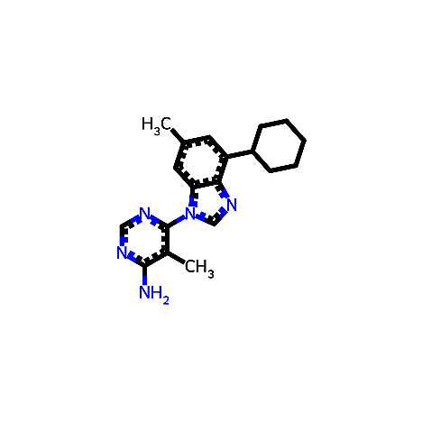 Cc1cc(C2CCCCC2)c2ncn(-c3ncnc(N)c3C)c2c1